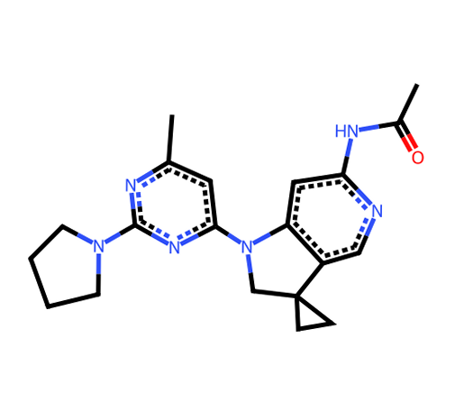 CC(=O)Nc1cc2c(cn1)C1(CC1)CN2c1cc(C)nc(N2CCCC2)n1